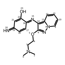 CN(C)CCOc1nn2ccccc2c1/N=C1\C=CC(=N)C=C1O